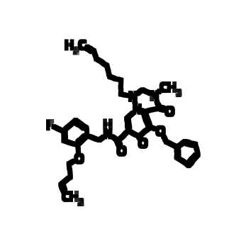 C=CCCCCCN1CN(C)C(=O)c2c(OCc3ccccc3)c(=O)c(C(=O)NCc3ccc(F)cc3OCCC=C)cn21